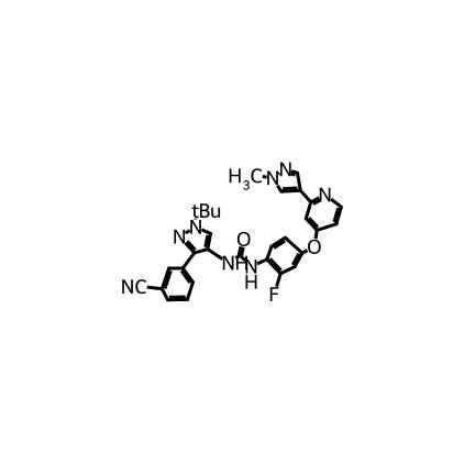 Cn1cc(-c2cc(Oc3ccc(NC(=O)Nc4cn(C(C)(C)C)nc4-c4cccc(C#N)c4)c(F)c3)ccn2)cn1